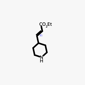 CCOC(=O)/C=C/C1CCNCC1